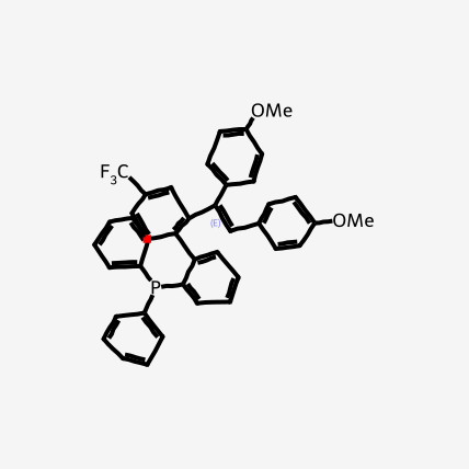 COc1ccc(/C=C(\c2ccc(OC)cc2)c2cc(C(F)(F)F)ccc2-c2ccccc2P(c2ccccc2)c2ccccc2)cc1